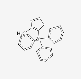 CC1=[C]([Zr]([c]2ccccc2)([c]2ccccc2)[c]2ccccc2)CC=C1